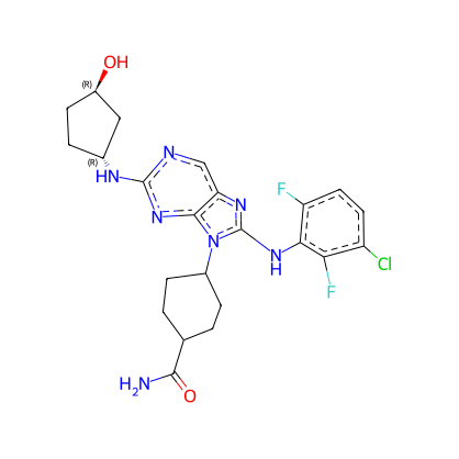 NC(=O)C1CCC(n2c(Nc3c(F)ccc(Cl)c3F)nc3cnc(N[C@@H]4CC[C@@H](O)C4)nc32)CC1